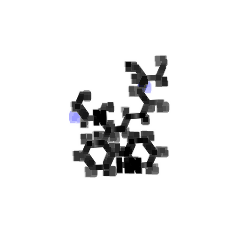 C/C=C\N(C)[C@@H](CCCC(C)/C=C(/C)CC)c1ccccc1C1=CC=CCN1